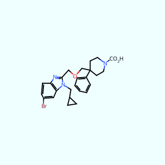 O=C(O)N1CCC(COCc2nc3ccc(Br)cc3n2CC2CC2)(c2ccccc2)CC1